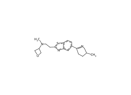 CC1CCC(c2ccc3sc(CCN(C)C4COC4)nc3c2)=NC1